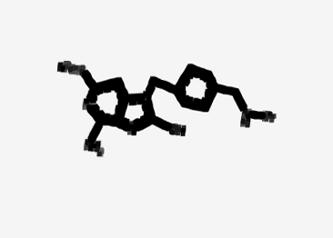 CCCCCc1cc2c(nc(O)n2Cc2ccc(CNC(C)C)cc2)c(N)n1